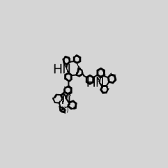 C1=Cc2c3n(c4ccc(-c5ccc6c(c5)-c5cc(-c7cccc(-c8cccc9c8Nc8ccccc8-c8ccccc8-9)c7)cc(c5)-c5ccccc5-c5ccccc5N6)cc24)-c2ccccc2[C@@]24C=C2C4C3C1